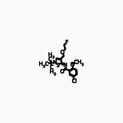 COc1ccc(Cl)cc1C(=O)/N=c1\sn(C(C)(C)C)cc1COCCF